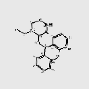 CCN1CCNCC1OC(c1ccccc1)c1ccccc1C